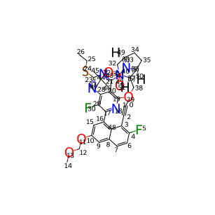 CC#Cc1c(F)ccc2cc(OCOC)cc(-c3nc4c5c(nc(SCC)nc5c3F)N3C[C@H]5CC[C@@H]([C@H]3CO4)N5C(=O)OC(C)(C)C)c12